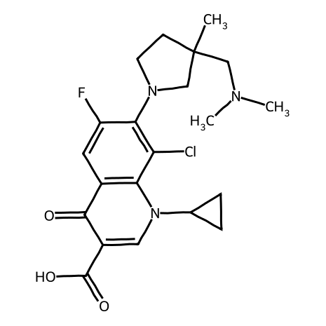 CN(C)CC1(C)CCN(c2c(F)cc3c(=O)c(C(=O)O)cn(C4CC4)c3c2Cl)C1